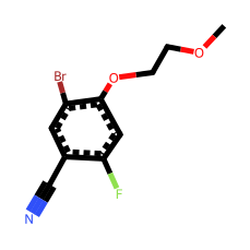 COCCOc1cc(F)c(C#N)cc1Br